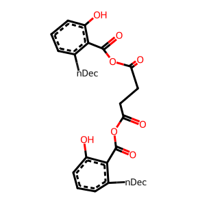 CCCCCCCCCCc1cccc(O)c1C(=O)OC(=O)CCC(=O)OC(=O)c1c(O)cccc1CCCCCCCCCC